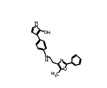 Cc1oc(-c2ccccc2)nc1CCNc1ccc(-c2cc[nH]c2O)cc1